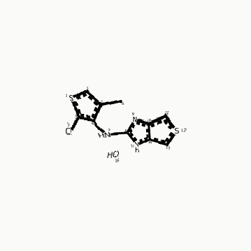 Cc1csc(Cl)c1Nc1nc2cscc2[nH]1.Cl